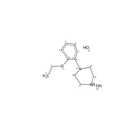 CCOc1ccccc1N1CCNCC1.Cl.Cl